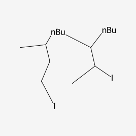 CCCCC(C)C(C)I.CCCCC(C)CCI